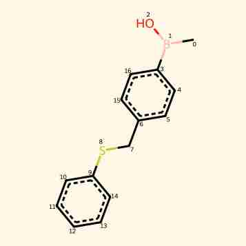 CB(O)c1ccc(CSc2ccccc2)cc1